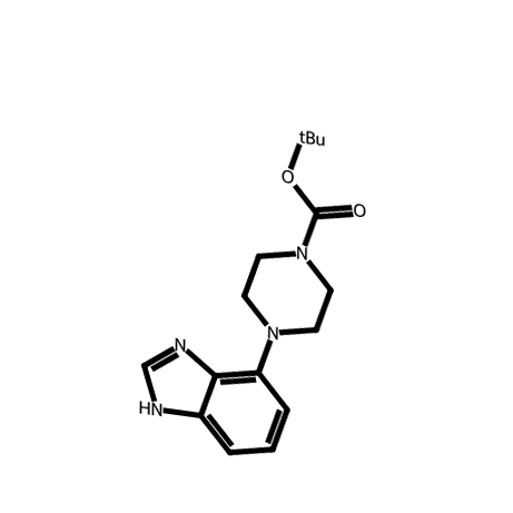 CC(C)(C)OC(=O)N1CCN(c2cccc3[nH]cnc23)CC1